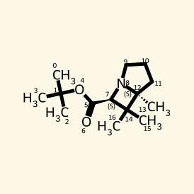 CC(C)(C)OC(=O)[C@H]1N2CCC[C@@]2(C)C1(C)C